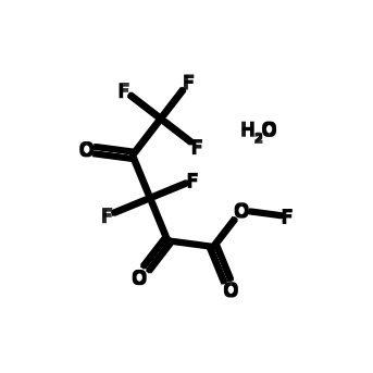 O.O=C(OF)C(=O)C(F)(F)C(=O)C(F)(F)F